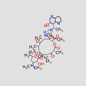 CC[C@H]1OC(=O)[C@H](C)C(=O)[C@H](C)[C@@H](O[C@@H]2O[C@H](C)C[C@H](N(C)C)[C@H]2O)[C@](C)(OC)C[C@@H](C)C(=O)[C@H](C)[C@H](NC2CN(C(C)c3c(O)cnc4cccnc34)C2)[C@]1(C)OC=O